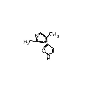 C1=CNOC=C1.Cc1ccc(C)nc1